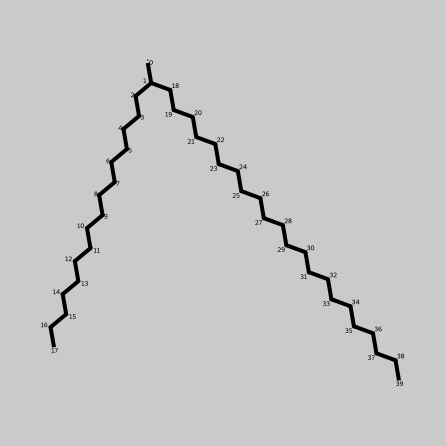 [CH2]C(CCCCCCCCCCCCCCCC)CCCCCCCCCCCCCCCCCCCCCC